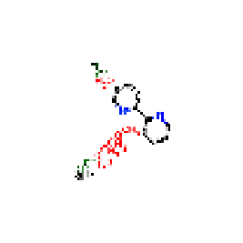 O.O.O.O.O.O.[Cl-].[Cl-].[Cl-].[Cl-].[Ru+4].c1ccc(-c2ccccn2)nc1